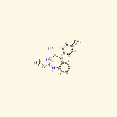 CSC1=Nc2ccccc2C(c2ccc(C)cc2)CN1.I